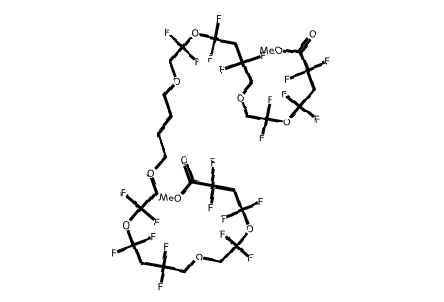 COC(=O)C(F)(F)CC(F)(F)OC(F)(F)COCC(F)(F)CC(F)(F)OC(F)(F)COCCCCOCC(F)(F)OC(F)(F)CC(F)(F)COCC(F)(F)OC(F)(F)CC(F)(F)C(=O)OC